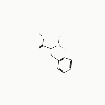 CCCCN(CCCC)[C@@H](Cc1ccccc1)C(=O)OC(C)(C)C